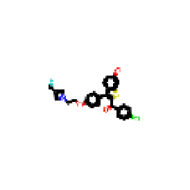 O=C(c1ccc(Cl)cc1)c1sc2cc(O)ccc2c1-c1ccc(OCCN2CC(CF)C2)cc1